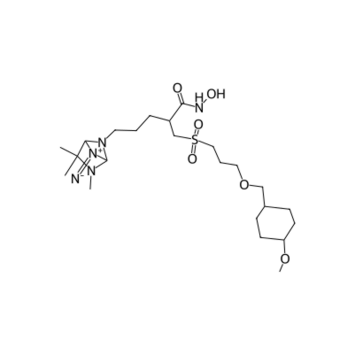 COC1CCC(COCCCS(=O)(=O)CC(CCCN2C3N(C)C(C)(C)C2[N+]3=[N-])C(=O)NO)CC1